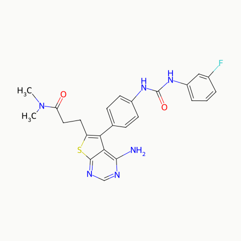 CN(C)C(=O)CCc1sc2ncnc(N)c2c1-c1ccc(NC(=O)Nc2cccc(F)c2)cc1